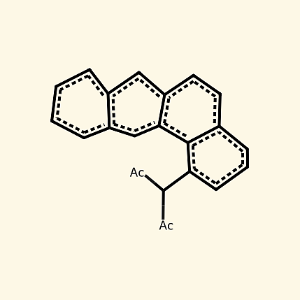 CC(=O)C(C(C)=O)c1cccc2ccc3cc4ccccc4cc3c12